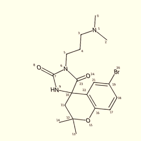 CN(C)CCCN1C(=O)NC2(CC(C)(C)Oc3ccc(Br)cc32)C1=O